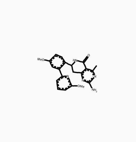 COc1ccc(C2Cc3nc(N)nc(C)c3C(=O)N2)c(-c2cccc(OC)n2)c1